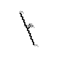 CCCCCCCCCCCCC(CCCCCCCCCCCC)C[N+](C)(C)C.[Cl-]